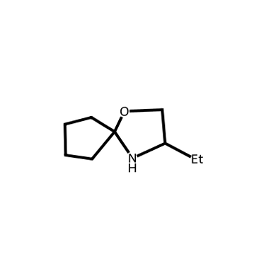 CCC1COC2(CCCC2)N1